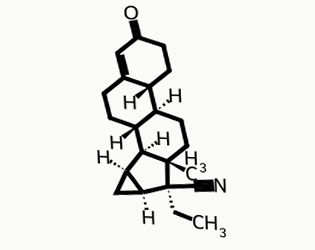 CC[C@]1(C#N)[C@H]2C[C@H]2[C@H]2[C@@H]3CCC4=CC(=O)CC[C@@H]4[C@H]3CC[C@@]21C